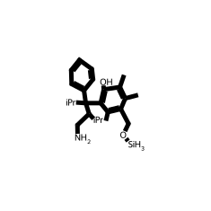 Cc1c(C)c(CO[SiH3])c(C)c(C(c2ccccc2)(C(C)C)C(CN)C(C)C)c1O